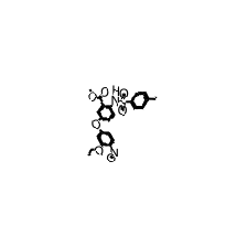 CCOc1cc(Oc2ccc(NS(=O)(=O)c3ccc(C)cc3)c(C(=O)OC)c2)ccc1N=O